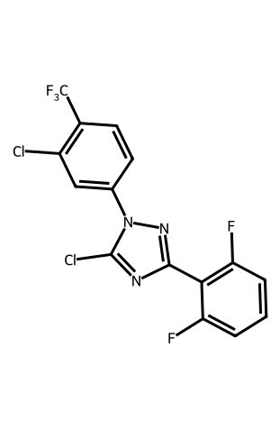 Fc1cccc(F)c1-c1nc(Cl)n(-c2ccc(C(F)(F)F)c(Cl)c2)n1